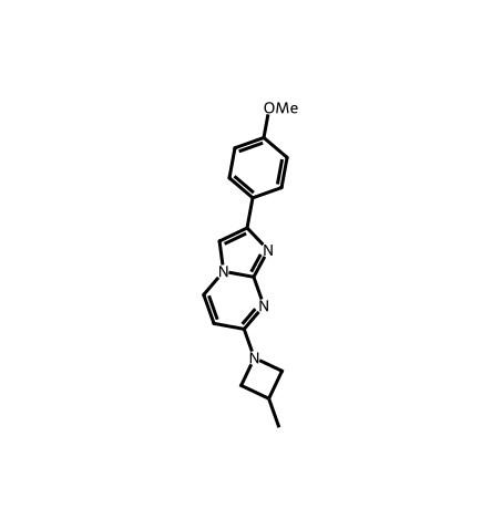 COc1ccc(-c2cn3ccc(N4CC(C)C4)nc3n2)cc1